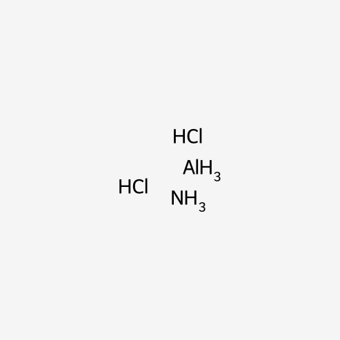 Cl.Cl.N.[AlH3]